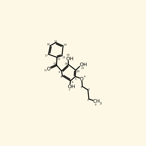 CCCCOc1c(O)cc(C(=O)c2ccccc2)c(O)c1O